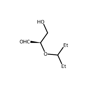 CCC(CC)O[C@@H](C=O)CO